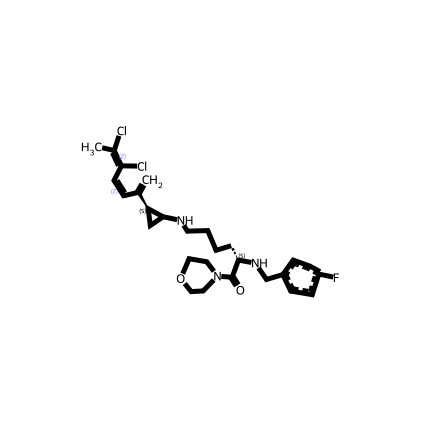 C=C(/C=C\C(Cl)=C(/C)Cl)[C@@H]1CC1NCCCC[C@H](NCc1ccc(F)cc1)C(=O)N1CCOCC1